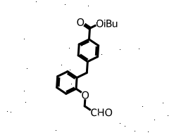 CC(C)COC(=O)c1ccc(Cc2ccccc2OCC=O)cc1